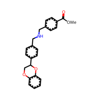 COC(=O)c1ccc(CNCc2ccc(C3COc4ccccc4O3)cc2)cc1